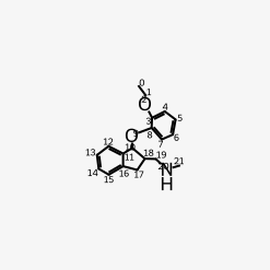 CCOc1ccccc1OC1c2ccccc2CC1CNC